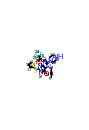 CC#CCN1c2c(nc(Sc3cccs3)n(C)c2=O)N(OC(=O)C(F)(F)F)C1N1CCNCC1